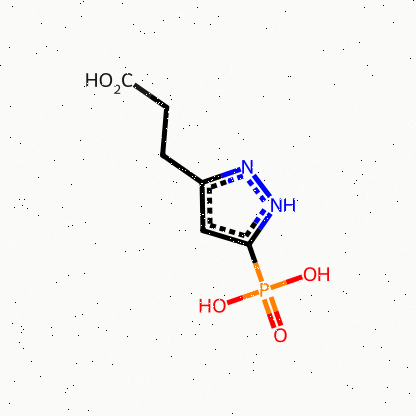 O=C(O)CCc1cc(P(=O)(O)O)[nH]n1